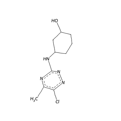 Cc1nc(NC2CCCC(O)C2)nnc1Cl